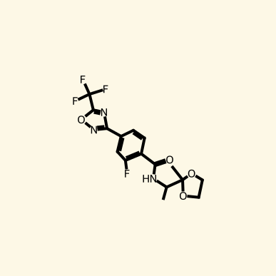 CC(NC(=O)c1ccc(-c2noc(C(F)(F)F)n2)cc1F)C1(C)OCCO1